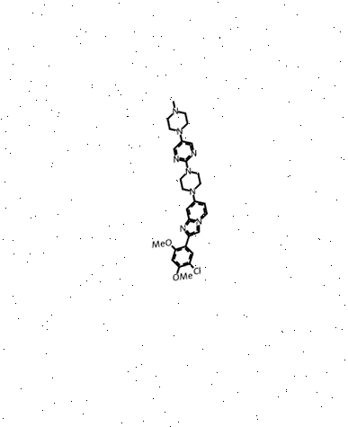 COc1cc(OC)c(-c2cn3ccc(N4CCN(c5ncc(N6CCN(C)CC6)cn5)CC4)cc3n2)cc1Cl